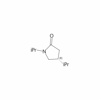 CC(C)[C@H]1CC(=O)N(C(C)C)C1